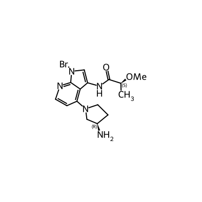 CO[C@@H](C)C(=O)Nc1cn(Br)c2nccc(N3CC[C@@H](N)C3)c12